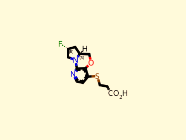 O=C(O)CCSc1ccnc2c1OC[C@@H]1C[C@@H](F)CN21